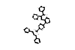 c1ccc(-c2cc(-c3ccccc3)nc(-c3ccc(-c4cccc5nc(-c6ccccc6)c6c7ccccc7oc6c45)cc3)n2)cc1